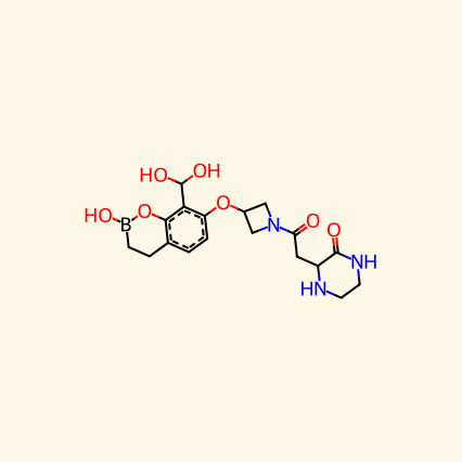 O=C1NCCNC1CC(=O)N1CC(Oc2ccc3c(c2C(O)O)OB(O)CC3)C1